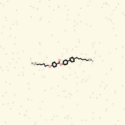 CCCCCCCOc1ccc(C(=O)Oc2ccc(-c3ccc(CCCCCCC)cc3)cc2)cc1